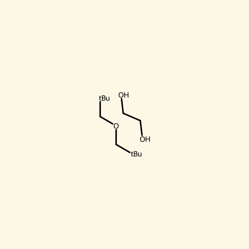 CC(C)(C)COCC(C)(C)C.OCCO